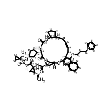 C=C[C@@H]1C[C@]1(NC(=O)[C@@H]1C[C@@H]2CN1C(=O)[C@H](C1CCCC1)NC(=O)O[C@@H]1CCC[C@H]1CCC=CCc1c(nc3ccccc3c1OCCCn1cccc1)O2)C(=O)NS(=O)(=O)C1(C)CC1